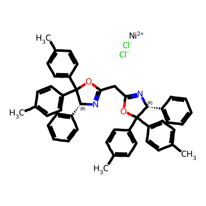 Cc1ccc(C2(c3ccc(C)cc3)OC(CC3=N[C@H](c4ccccc4)C(c4ccc(C)cc4)(c4ccc(C)cc4)O3)=N[C@@H]2c2ccccc2)cc1.[Cl-].[Cl-].[Ni+2]